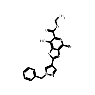 CCOC(=O)c1nc(Br)c2nc(-c3cnn(Cc4ccccc4)c3)sc2c1O